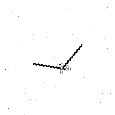 CCCCCCCCCCCCCCCC(=O)NC(CO)C(O)C(=O)CCCCCCCCCCCCCCC